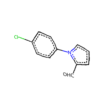 O=Cc1cccn1-c1ccc(Cl)cc1